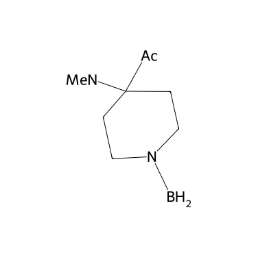 BN1CCC(NC)(C(C)=O)CC1